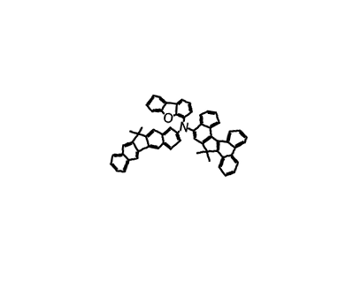 CC1(C)c2cc3ccccc3cc2-c2cc3ccc(N(c4cc5c(c6ccccc46)-c4c(c6ccccc6c6ccccc46)C5(C)C)c4cccc5c4oc4ccccc45)cc3cc21